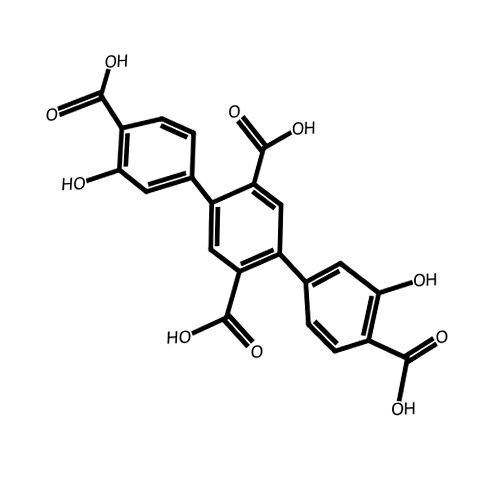 O=C(O)c1ccc(-c2cc(C(=O)O)c(-c3ccc(C(=O)O)c(O)c3)cc2C(=O)O)cc1O